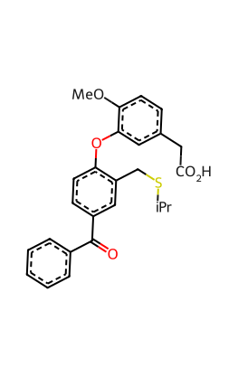 COc1ccc(CC(=O)O)cc1Oc1ccc(C(=O)c2ccccc2)cc1CSC(C)C